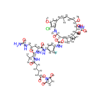 COc1cc2cc(c1Cl)N(C)C(=O)C[C@H](OC(=O)Nc1ccc(NC(=O)[C@H](CCCNC(N)=O)NC(=O)[C@@H](NC(=O)CCCCC(=O)ON3C(=O)CCC3=O)C(C)C)cc1F)[C@]1(C)CC[C@H]1[C@H](C)[C@@H]1C[C@@](O)(NC(=O)O1)[C@H](OC)/C=C/C=C(\C)C2